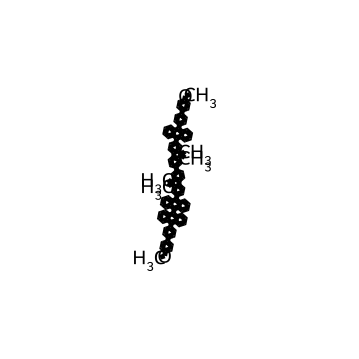 COc1ccc(-c2ccc(-c3c4ccccc4c(-c4ccc5c(c4)C(C)(C)c4cc(-c6ccc7c(c6)C(C)(C)c6cc(-c8c9ccccc9c(-c9c%10ccccc%10c(-c%10ccc(-c%11ccc(OC)cc%11)cc%10)c%10ccccc9%10)c9ccccc89)ccc6-7)ccc4-5)c4ccccc34)cc2)cc1